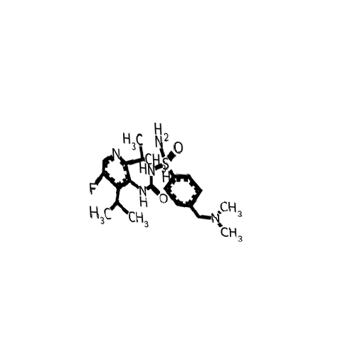 CC(C)c1ncc(F)c(C(C)C)c1NC(=O)N[SH](N)(=O)c1ccc(CN(C)C)cc1